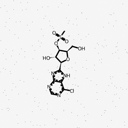 CS(=O)(=O)O[C@@H]1[C@@H](O)[C@H](c2nc3ncnc(Cl)c3[nH]2)O[C@@H]1CO